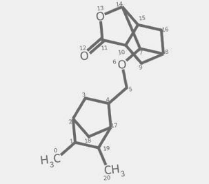 CC1C2CC(COC3C4CC5C(=O)OC3C5C4)C(C2)C1C